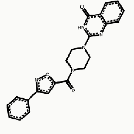 O=C(c1cc(-c2ccccc2)no1)N1CCN(c2nc3ccccc3c(=O)[nH]2)CC1